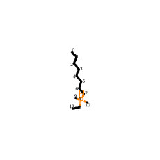 CCCCCCCC[PH](C)(C)CC